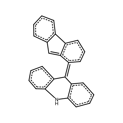 C1=c2c(cccc2=C2c3ccccc3Nc3ccccc32)-c2ccccc21